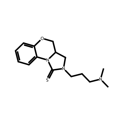 CN(C)CCCN1CC2COc3ccccc3N2C1=S